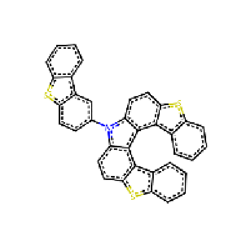 c1ccc2c(c1)sc1ccc(-n3c4ccc5sc6ccccc6c5c4c4c5c(ccc43)sc3ccccc35)cc12